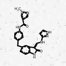 Cn1cc(C(=O)Nc2ccc(Cc3ccc4c(c3)/C(=C/Nc3cc[nH]n3)C(=O)N4)cc2)cn1